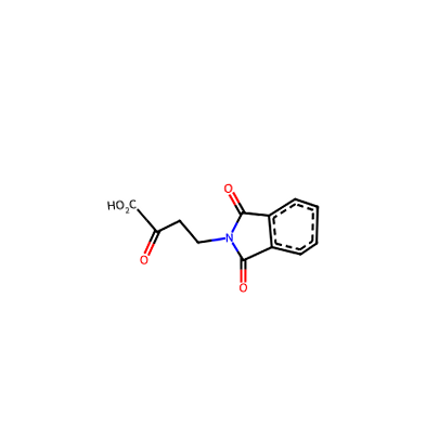 O=C(O)C(=O)CCN1C(=O)c2ccccc2C1=O